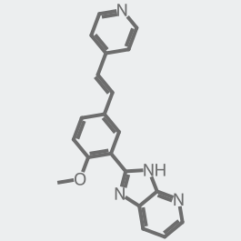 COc1ccc(/C=C/c2ccncc2)cc1-c1nc2cccnc2[nH]1